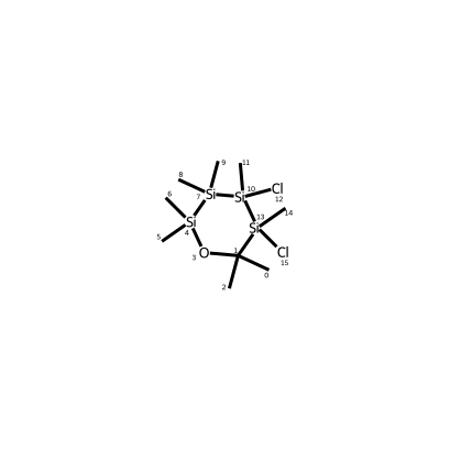 CC1(C)O[Si](C)(C)[Si](C)(C)[Si](C)(Cl)[Si]1(C)Cl